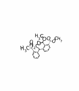 C=C(c1ccccc1C(C)C=O)c1cccc(C(=O)OC)c1C(=O)OC